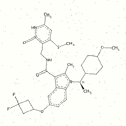 COC1CCC([C@@H](C)n2c(C)c(C(=O)NCc3c(SC)cc(C)[nH]c3=O)c3cc(OC4CC(F)(F)C4)ccc32)CC1